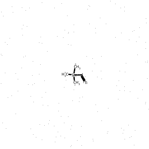 C[Si](C)(C)[CH]=[Ti]